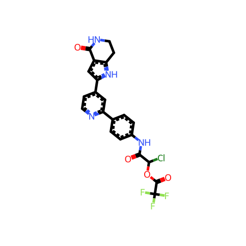 O=C1NCCc2[nH]c(-c3ccnc(-c4ccc(NC(=O)C(Cl)OC(=O)C(F)(F)F)cc4)c3)cc21